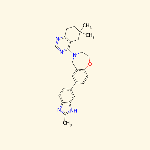 Cc1nc2ccc(-c3ccc4c(c3)CN(c3ncnc5c3CC(C)(C)CC5)CCO4)cc2[nH]1